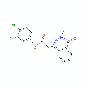 Cn1nc(CC(=O)Nc2ccc(Cl)c(Cl)c2)c2ccccc2c1=O